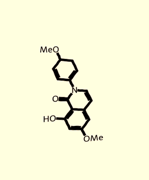 COc1cc(O)c2c(=O)n(C3=CCC(OC)C=C3)ccc2c1